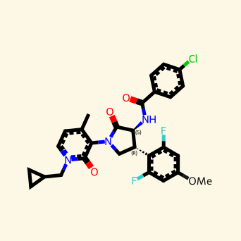 COc1cc(F)c([C@@H]2CN(c3c(C)ccn(CC4CC4)c3=O)C(=O)[C@H]2NC(=O)c2ccc(Cl)cc2)c(F)c1